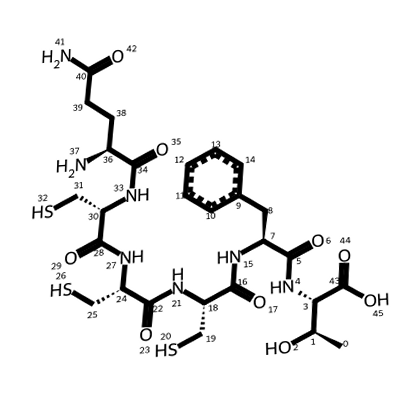 C[C@@H](O)[C@H](NC(=O)[C@H](Cc1ccccc1)NC(=O)[C@H](CS)NC(=O)[C@H](CS)NC(=O)[C@H](CS)NC(=O)[C@@H](N)CCC(N)=O)C(=O)O